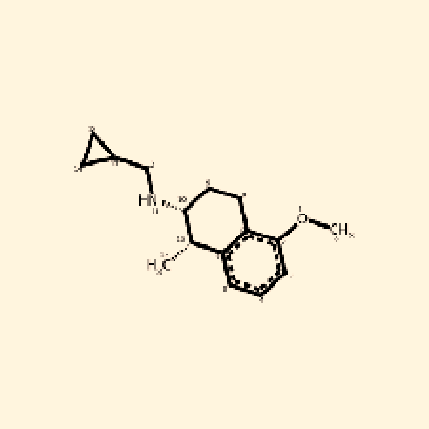 COc1cccc2c1CC[C@@H](NCC1CC1)[C@H]2C